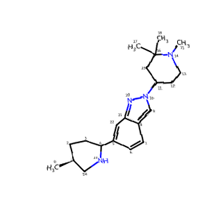 C[C@H]1CCC(c2ccc3cn(C4CCN(C)C(C)(C)C4)nc3c2)NC1